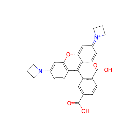 O=C(O)c1ccc(C(=O)O)c(-c2c3ccc(=[N+]4CCC4)cc-3oc3cc(N4CCC4)ccc23)c1